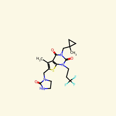 Cc1c(CN2CCNC2=O)sc2c1c(=O)n(CC1(C)CC1)c(=O)n2CCC(F)(F)F